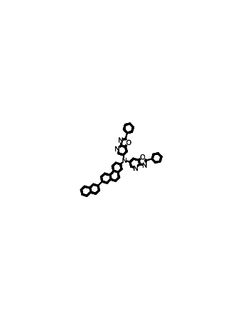 c1ccc(-c2nc3ncc(N(c4ccc5c(ccc6cc(-c7ccc8ccccc8c7)ccc65)c4)c4cnc5nc(-c6ccccc6)oc5c4)cc3o2)cc1